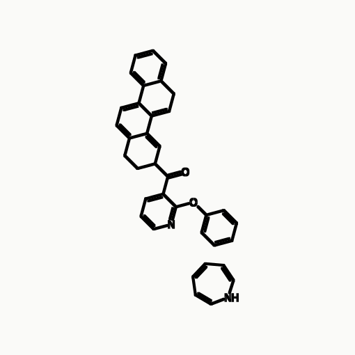 C1=CC=CNC=C1.O=C(c1cccnc1Oc1ccccc1)C1C=c2c(ccc3c2=CCc2ccccc2-3)CC1